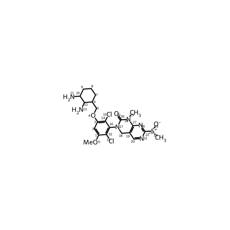 COc1cc(OCC2CCCC(N)C2N)c(Cl)c(N2Cc3cnc([S+](C)[O-])nc3N(C)C2=O)c1Cl